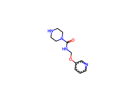 O=C(NCOc1cccnc1)N1CCNCC1